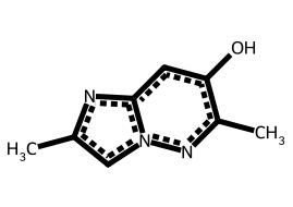 Cc1cn2nc(C)c(O)cc2n1